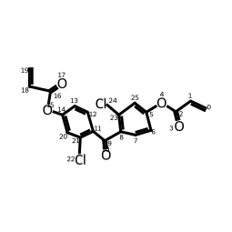 C=CC(=O)Oc1ccc(C(=O)c2ccc(OC(=O)C=C)cc2Cl)c(Cl)c1